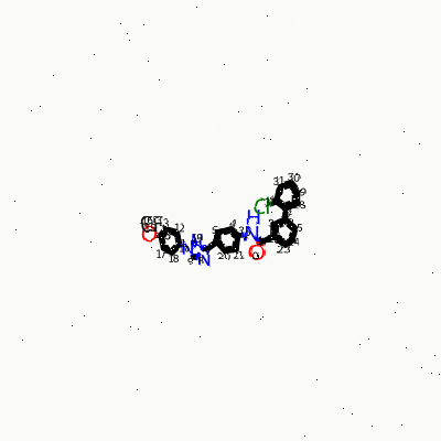 O=C(Nc1ccc(-c2ncn(-c3ccc(OC(F)(F)F)cc3)n2)cc1)c1cccc(-c2ccccc2Cl)c1